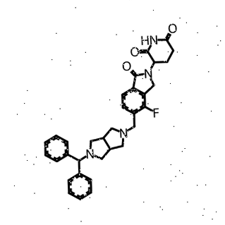 O=C1CCC(N2Cc3c(ccc(CN4CC5CN(C(c6ccccc6)c6ccccc6)CC5C4)c3F)C2=O)C(=O)N1